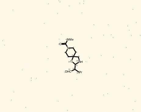 CNC(=O)N1CCC2(CC1)CNC(C(C=O)C(C)C)O2